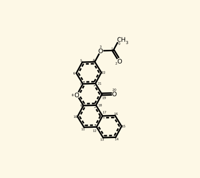 CC(=O)Oc1ccc2oc3ccc4ccccc4c3c(=O)c2c1